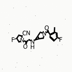 Cc1cc(F)ccc1C(=O)N1CC2C(C1)C2NCC(=O)N1C[C@@H](F)C[C@H]1C#N